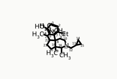 CCc1ccc(O)cc1C12CCN(CC3CC3)C(C)C1(C)CCC2C(C)N(C)C